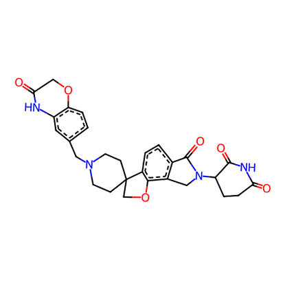 O=C1CCC(N2Cc3c(ccc4c3OCC43CCN(Cc4ccc5c(c4)NC(=O)CO5)CC3)C2=O)C(=O)N1